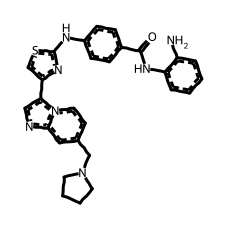 Nc1ccccc1NC(=O)c1ccc(Nc2nc(-c3cnc4cc(CN5CCCC5)ccn34)cs2)cc1